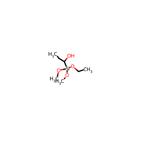 CCO[Si](OC)(OC)C(O)CC